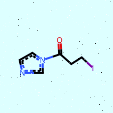 O=C(CCI)n1ccnc1